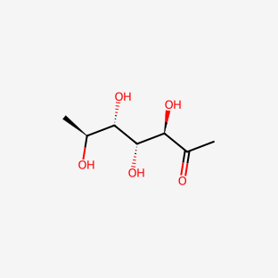 CC(=O)[C@H](O)[C@H](O)[C@@H](O)[C@H](C)O